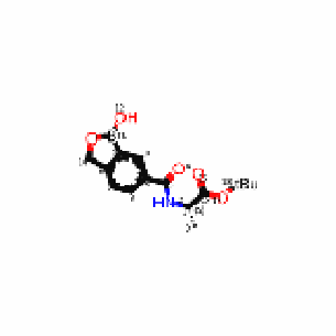 C[C@H](NC(=O)c1ccc2c(c1)B(O)OC2)C(=O)OC(C)(C)C